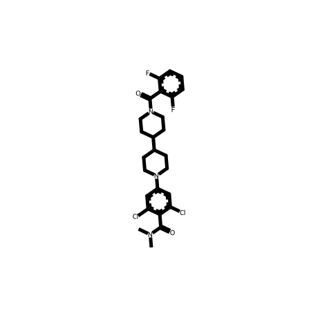 CN(C)C(=O)c1c(Cl)cc(N2CCC(C3CCN(C(=O)c4c(F)cccc4F)CC3)CC2)cc1Cl